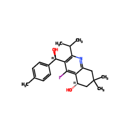 Cc1ccc([C@@H](O)c2c(C(C)C)nc3c(c2I)[C@@H](O)CC(C)(C)C3)cc1